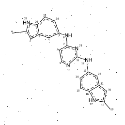 Cc1cc2cc(Nc3ccnc(Nc4ccc5[nH]c(C)cc5c4)n3)ccc2[nH]1